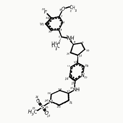 COc1cc([C@@H](C)N[C@H]2CC[C@@H](c3ccc(NC4CCN(S(C)(=O)=O)CC4)nc3)C2)ccc1F